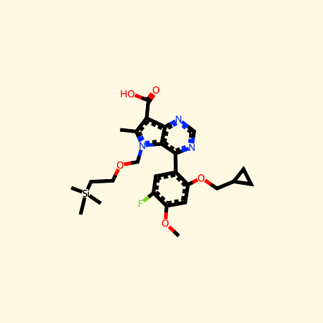 COc1cc(OCC2CC2)c(-c2ncnc3c(C(=O)O)c(C)n(COCC[Si](C)(C)C)c23)cc1F